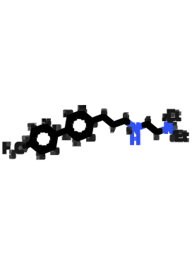 CCN(CC)CCNCCCc1ccc(-c2ccc(C(F)(F)F)cc2)cc1